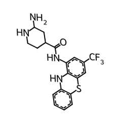 NC1CC(C(=O)Nc2cc(C(F)(F)F)cc3c2Nc2ccccc2S3)CCN1